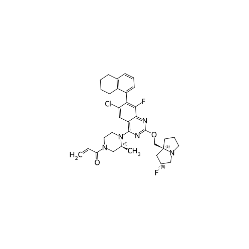 C=CC(=O)N1CCN(c2nc(OC[C@@]34CCCN3C[C@H](F)C4)nc3c(F)c(-c4cccc5c4CCCC5)c(Cl)cc23)[C@@H](C)C1